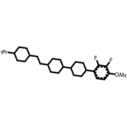 CCCC1CCC(CCC2CCC(C3CCC(c4ccc(OC)c(F)c4F)CC3)CC2)CC1